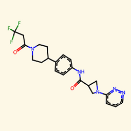 O=C(Nc1ccc(C2CCN(C(=O)CC(F)(F)F)CC2)cc1)C1CN(c2cccnn2)C1